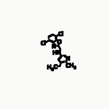 CCc1cc(NCc2nc3c(Cl)ccc(Cl)c3o2)cnc1C